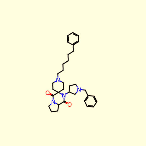 O=C1C2CCCN2C(=O)C2(CCN(CCCCCCc3ccccc3)CC2)N1C1CCN(Cc2ccccc2)C1